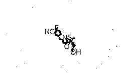 Cc1sc2nc(Cc3ccc(F)c(C#N)c3)cc(=O)n2c1[C@@H]1C[C@H]1CO